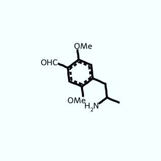 COc1cc(CC(C)N)c(OC)cc1C=O